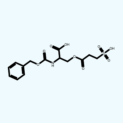 O=C(CCS(=O)(=O)O)OCC(NC(=O)OCc1ccccc1)C(=O)O